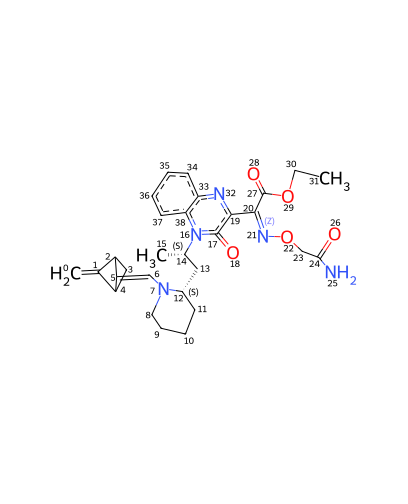 C=C1C2CC1C2=CN1CCCC[C@H]1C[C@H](C)n1c(=O)c(/C(=N/OCC(N)=O)C(=O)OCC)nc2ccccc21